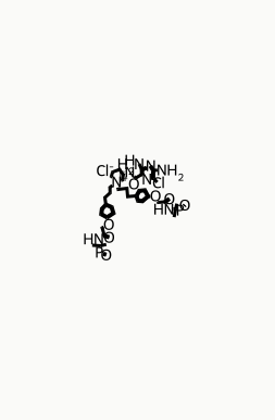 CC(C)(NC(=O)COc1ccc(CCC[N+]2(CCCc3ccc(OCC(=O)NC(C)(C)P=O)cc3)CCC[C@H](NC(=O)c3nc(Cl)c(N)nc3N)C2)cc1)P=O.[Cl-]